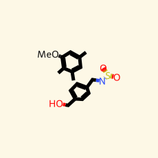 COc1cc(C)cc(C)c1C.O=S(=O)=NCc1ccc(CO)cc1